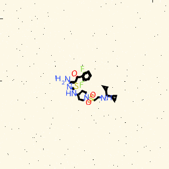 Nc1nc(NC2CCN(S(=O)(=O)CCNC(C3CC3)C3CC3)CC2)sc1C(=O)c1c(F)cccc1F